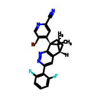 CC1(C)[C@H]2CC[C@]1(c1cc(C#N)ncc1Br)c1nnc(-c3c(F)cccc3F)cc12